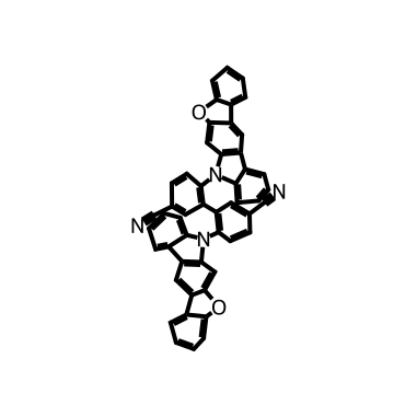 N#Cc1ccc(-n2c3ccccc3c3cc4c(cc32)oc2ccccc24)c(-c2cc(C#N)ccc2-n2c3ccccc3c3cc4c(cc32)oc2ccccc24)c1